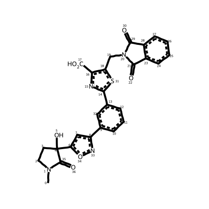 CN1CCC(O)(c2cc(-c3cccc(-c4nc(C(=O)O)c(CN5C(=O)c6ccccc6C5=O)s4)c3)no2)C1=O